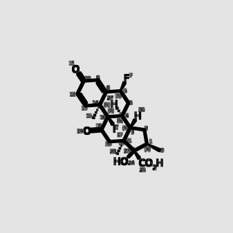 C[C@@H]1C[C@H]2[C@@H]3C[C@H](F)C4=CC(=O)C=C[C@]4(C)[C@@]3(F)C(=O)C[C@]2(C)[C@]1(O)C(=O)O